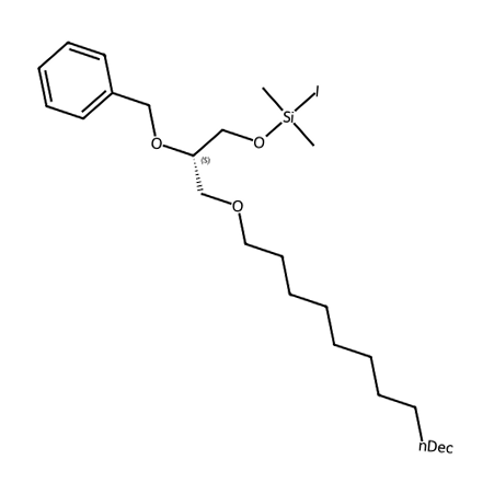 CCCCCCCCCCCCCCCCCCOC[C@@H](CO[Si](C)(C)I)OCc1ccccc1